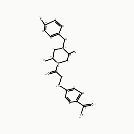 CCC(=O)c1ccc(OCC(=O)N2CC(C)N(Cc3ccc(F)cc3)CC2C)cc1